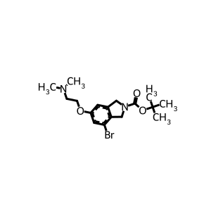 CN(C)CCOc1cc(Br)c2c(c1)CN(C(=O)OC(C)(C)C)C2